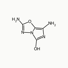 Nc1nn2c(O)nc(N)c2o1